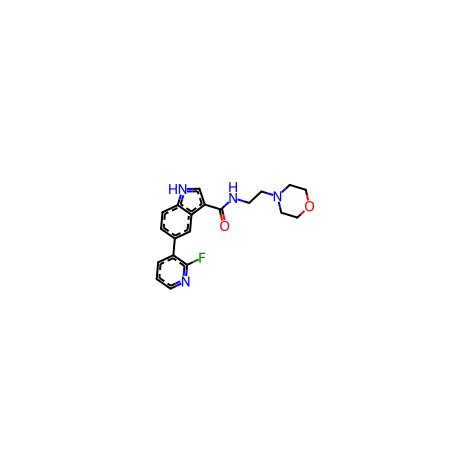 O=C(NCCN1CCOCC1)c1c[nH]c2ccc(-c3cccnc3F)cc12